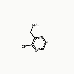 NCc1cncnc1Cl